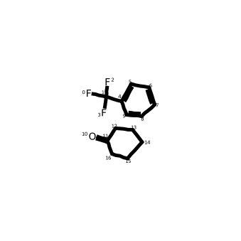 FC(F)(F)c1ccccc1.O=C1CCCCC1